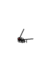 CCCCCCCCCCCCCC(=O)OC([C@H](CO)OC(=O)CCCCCCCCCCCCC)P(=O)(O)OCC